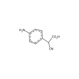 N#CC(C(=O)O)c1ccc(N)cc1